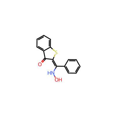 O=C1C(=C(NO)c2ccccc2)Sc2ccccc21